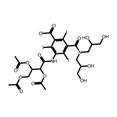 CC(=O)OCC(OC(C)=O)C(OC(C)=O)C(=O)Nc1c(I)c(C(=O)Cl)c(I)c(C(=O)N(CC(O)CO)CC(O)CO)c1I